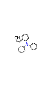 C/C=C\c1ccccc1N(c1ccccc1)c1ccccc1